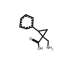 NCC1(C(=O)O)CC1c1ccccc1